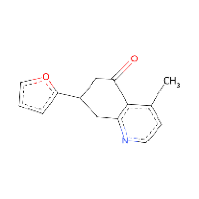 Cc1ccnc2c1C(=O)CC(c1ccco1)C2